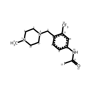 CN1CCN(Cc2ccc(NC(=O)I)cc2C(F)(F)F)CC1